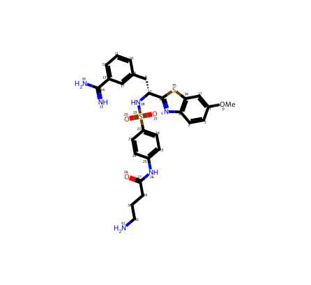 COc1ccc2nc([C@@H](Cc3cccc(C(=N)N)c3)NS(=O)(=O)c3ccc(NC(=O)CCCN)cc3)sc2c1